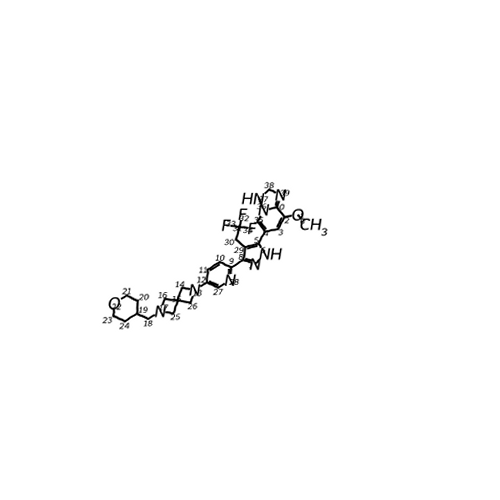 COC1=CC(c2[nH]nc(-c3ccc(N4CC5(CN(CC6CCOCC6)C5)C4)cn3)c2CC(F)(F)F)=CN2NCN=C12